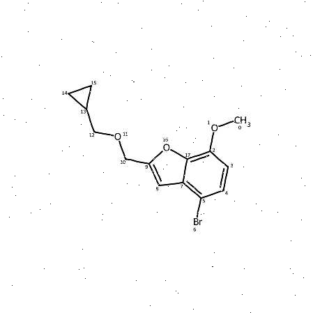 COc1ccc(Br)c2cc(COCC3CC3)oc12